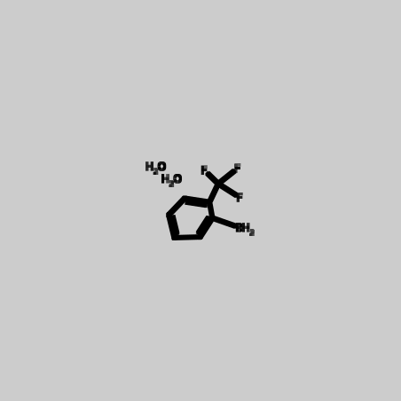 Bc1ccccc1C(F)(F)F.O.O